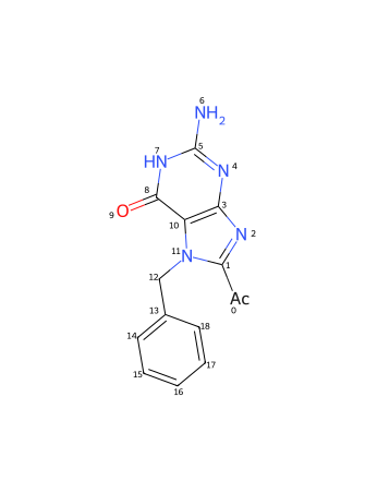 CC(=O)c1nc2nc(N)[nH]c(=O)c2n1Cc1ccccc1